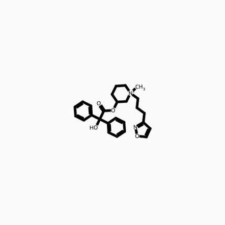 C[N+]1(CCCc2ccon2)CCCC(OC(=O)C(O)(c2ccccc2)c2ccccc2)C1